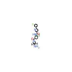 Cl.N[C@H]1[C@H]2CN(C(=O)C3CCCC(NC(=O)c4ccc(-c5cccc(F)c5)nc4)C3)C[C@@H]12